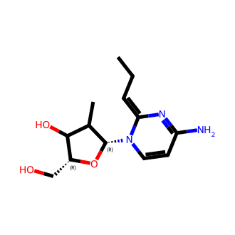 CCC=C1N=C(N)C=CN1[C@@H]1O[C@H](CO)C(O)C1C